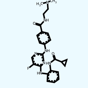 CN(C)CCNC(=O)c1ccc(Nc2ncc(F)c(Nc3ccccc3NC(=O)C3CC3)n2)cc1